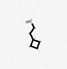 [CH2]CCCCC1CCC1